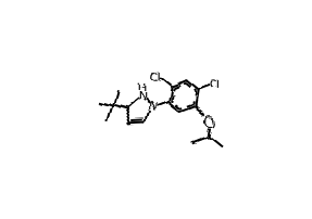 CC(C)Oc1cc(N2C=CC(C(C)(C)C)N2)c(Cl)cc1Cl